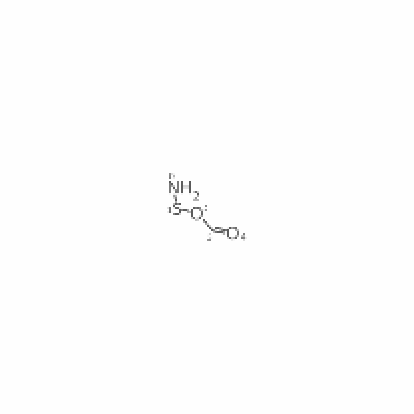 NSOC=O